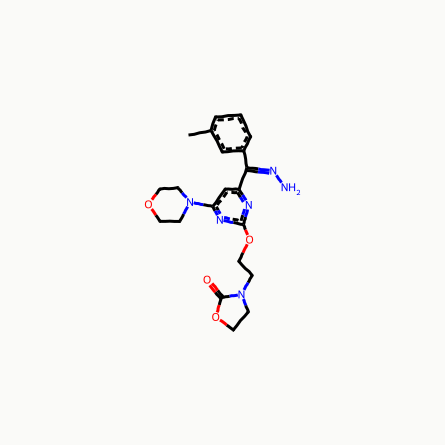 Cc1cccc(/C(=N/N)c2cc(N3CCOCC3)nc(OCCN3CCOC3=O)n2)c1